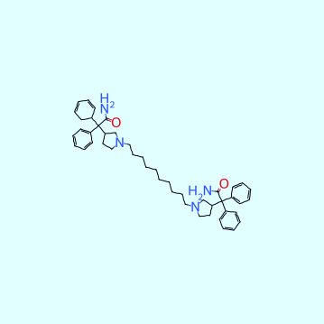 NC(=O)C(c1ccccc1)(c1ccccc1)C1CCN(CCCCCCCCCCN2CCC(C(C(N)=O)(c3ccccc3)C3C=CC=CC3)C2)C1